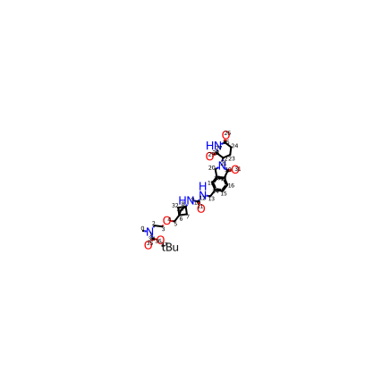 CN(CCOCC12CC(NC(=O)NCc3ccc4c(c3)CN(C3CCC(=O)NC3=O)C4=O)(C1)C2)C(=O)OC(C)(C)C